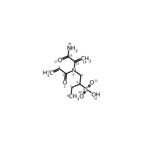 C=CC(=O)N(CC(CC)S(=O)(=O)O)C(=C)C(N)=O